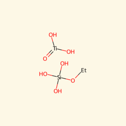 CCO[Si](O)(O)O.[O]=[Ti]([OH])[OH]